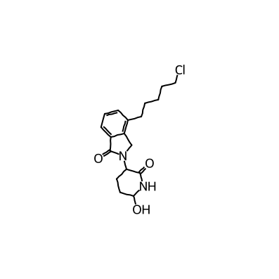 O=C1NC(O)CCC1N1Cc2c(CCCCCCl)cccc2C1=O